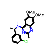 COc1cc2nc(C)nc(N[C@H](C)c3cccc(Cl)c3)c2cc1OC